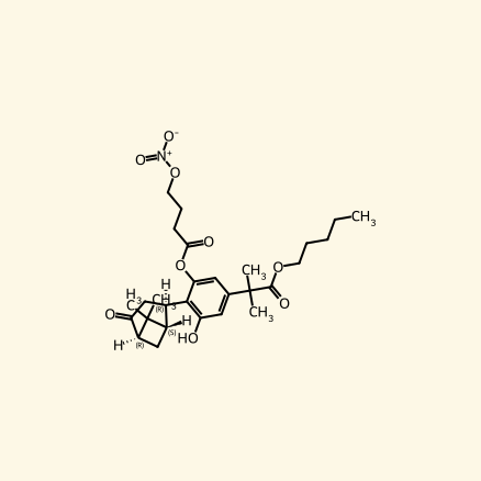 CCCCCOC(=O)C(C)(C)c1cc(O)c([C@@H]2CC(=O)[C@@H]3C[C@@H]2C3(C)C)c(OC(=O)CCCO[N+](=O)[O-])c1